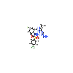 N=N/N=C(\NCc1cc(F)ccc1NS(=O)(=O)c1ccc(Cl)cc1)C1CC1